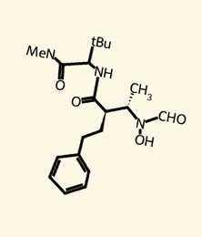 CNC(=O)C(NC(=O)[C@H](CCc1ccccc1)[C@H](C)N(O)C=O)C(C)(C)C